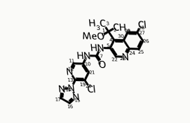 COC(C)(C)c1c(NC(=O)Nc2cnc(-n3nccn3)c(Cl)c2)cnc2ccc(Cl)cc12